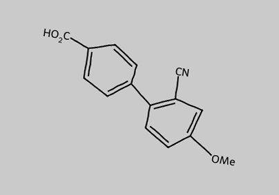 COc1ccc(-c2ccc(C(=O)O)cc2)c(C#N)c1